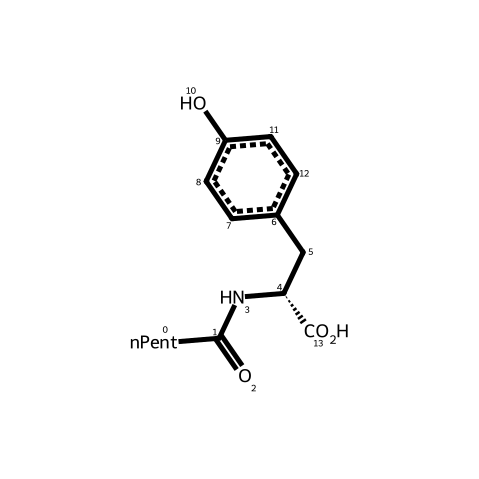 CCCCCC(=O)N[C@H](Cc1ccc(O)cc1)C(=O)O